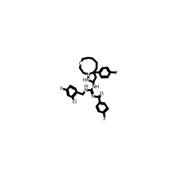 O=C(/N=C(/NCc1ccc(F)cc1Cl)NC1CC2(c3ccc(F)cc3)CCCCCCCCN2N1)c1ccc(F)cc1